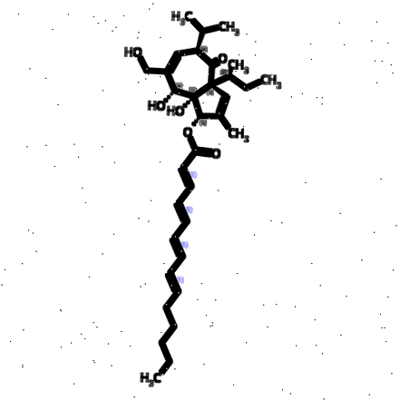 CCCCC/C=C/C=C/C=C/C=C/C(=O)O[C@H]1C(C)=C[C@]2([C@H](C)CC)C(=O)[C@H](C(C)C)C=C(CO)[C@@H](O)[C@]12O